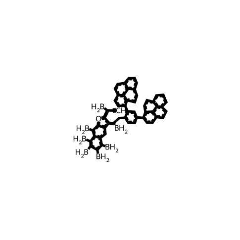 B/C(Cc1ccc(-c2ccc3ccc4cccc5ccc2c3c45)cc1-c1ccc2ccc3cccc4ccc1c2c34)=c1/c(=C(/B)C#C)oc2c(B)c3c(B)c(B)c(B)c(B)c3cc12